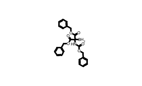 BC(NC(=O)OCc1ccccc1)(C(=O)OCc1ccccc1)C(=O)OCc1ccccc1